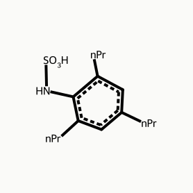 CCCc1cc(CCC)c(NS(=O)(=O)O)c(CCC)c1